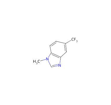 Cn1cnc2cc(C(F)(F)F)ccc21